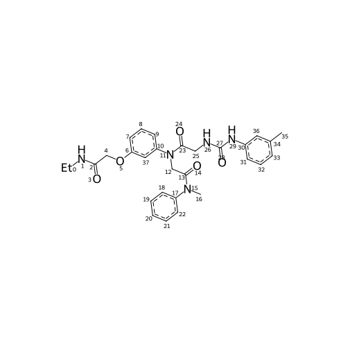 CCNC(=O)COc1cccc(N(CC(=O)N(C)c2ccccc2)C(=O)CNC(=O)Nc2cccc(C)c2)c1